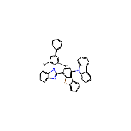 CC(C)c1cc(-c2ccccc2)cc(C(C)C)c1-n1c(-c2ccc(-n3c4ccccc4c4ccccc43)c3c2sc2ccccc23)nc2ccccc21